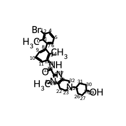 Cc1c(Br)cccc1-c1cccc(NC(=O)c2nc3c(n2C)CCN(C2CCC(O)CC2)C3)c1C